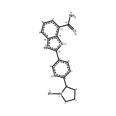 CC(C)N1CCCC1c1ccc(-c2nc3c(C(N)=O)cccc3[nH]2)cn1